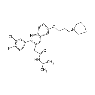 CC(C)NC(=O)Cc1cc2cc(OCCCN3CCCCC3)ccc2nc1-c1ccc(F)c(Cl)c1